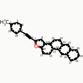 Cc1ccc(C#Cc2cc3c(ccc4c5cc6ccccc6cc5ccc34)o2)cc1